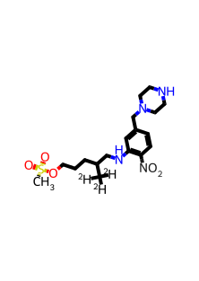 [2H]C([2H])([2H])C(CCCOS(C)(=O)=O)CNc1cc(CN2CCNCC2)ccc1[N+](=O)[O-]